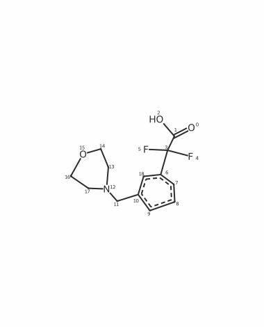 O=C(O)C(F)(F)c1cccc(CN2CCOCC2)c1